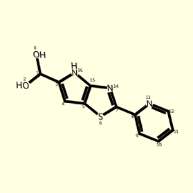 OC(O)c1cc2sc(-c3ccccn3)nc2[nH]1